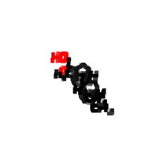 CC1CC[C@@]2(C)[C@@H](CC[C@@H]3[C@@H]2CC[C@]2(C)[C@@H](C(=O)CO)CC[C@@H]32)C1